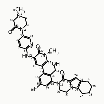 CN1CCN(c2ccc(Nc3cc(-c4cc(F)cc(N5CCn6c(cc7c6CCCC7)C5=O)c4CO)cn(C)c3=O)nc2)C(=O)C1